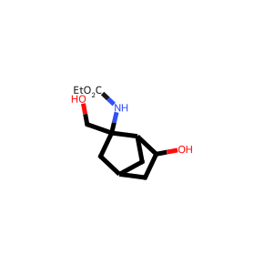 CCOC(=O)NC1(CO)CC2CC(O)C1C2